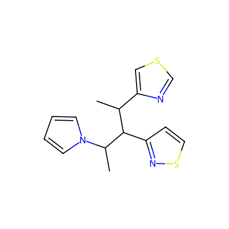 CC(c1cscn1)C(c1ccsn1)C(C)n1cccc1